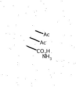 CC(=O)O.CC(C)=O.CC(C)=O.N